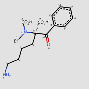 CCN(C(=O)O)[C@@](CCCCN)(C(=O)O)C(=O)c1ccccc1